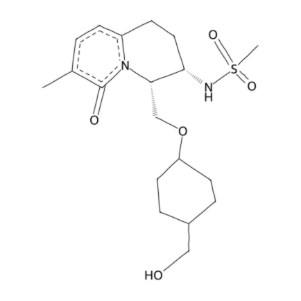 Cc1ccc2n(c1=O)[C@@H](COC1CCC(CO)CC1)[C@@H](NS(C)(=O)=O)CC2